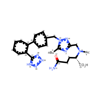 CCCCc1nc(CN(C(C)=O)[C@@H](CCC(N)=O)C(=O)O)nn1Cc1ccc(-c2ccccc2-c2nnn[nH]2)cc1